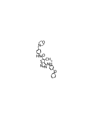 Cc1c(C(=O)Nc2ccc(CN3CCOCC3)cc2)sc2ncnc(Nc3ccc(Oc4ccccc4)cc3)c12